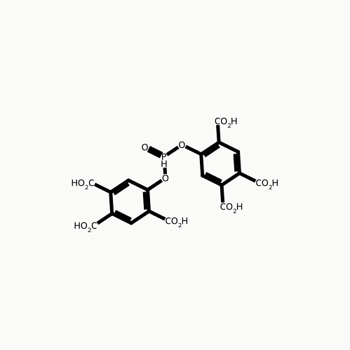 O=C(O)c1cc(C(=O)O)c(C(=O)O)cc1O[PH](=O)Oc1cc(C(=O)O)c(C(=O)O)cc1C(=O)O